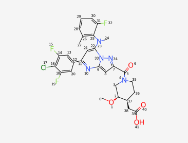 CO[C@H]1CN(C(=O)c2cc3nc(-c4cc(F)c(Cl)c(F)c4)cc(N(C)c4c(C)cccc4F)n3n2)CC[C@H]1CC(=O)O